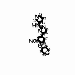 N#Cc1cc(-c2ccnc(Nc3cc[c]nc3)n2)ccc1OC1CCOCC1